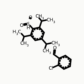 CC(C)c1cc(C(C)C)c([SH](=O)=O)c(C(C)C)c1.O=Cc1ccccc1Cl